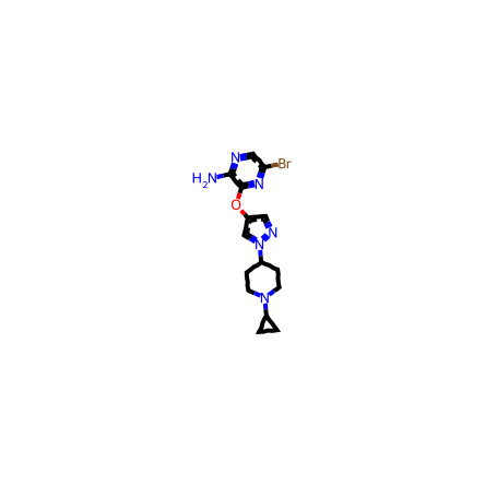 Nc1ncc(Br)nc1Oc1cnn(C2CCN(C3CC3)CC2)c1